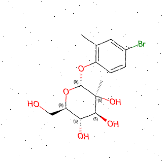 Cc1cc(Br)ccc1O[C@H]1O[C@H](CO)[C@@H](O)[C@H](O)[C@]1(C)O